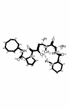 C/C(=C\[C@H](C(C)C)N(C)C(=O)[C@@H](NC(=O)C1CCCCN1C(C)C)C(C)(C)C)C(=O)N1CCC[C@H]1C(=O)NC1CCCCCCC1